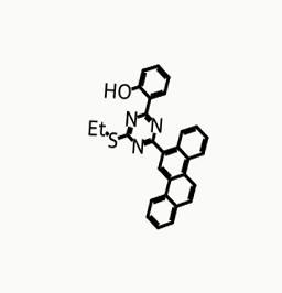 CCSc1nc(-c2ccccc2O)nc(-c2cc3c4ccccc4ccc3c3ccccc23)n1